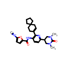 [C-]#[N+]c1ccc(C(=O)Nc2ccc(C3CN(C)C(=O)N(C)C3)nc2C2=CCC3(CCCC3)CC2)o1